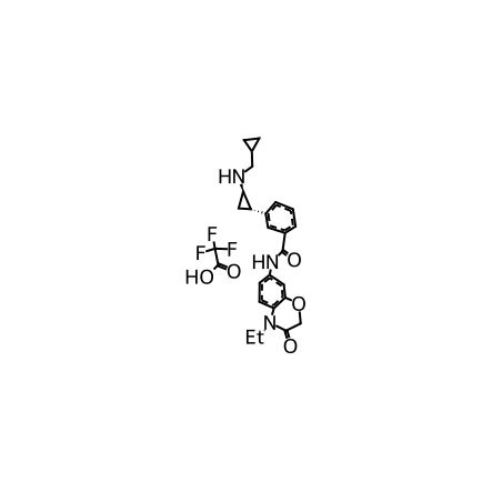 CCN1C(=O)COc2cc(NC(=O)c3cccc([C@@H]4C[C@H]4NCC4CC4)c3)ccc21.O=C(O)C(F)(F)F